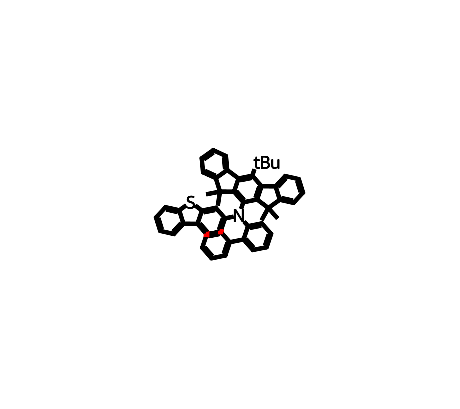 CC(C)(C)c1c2c(c(N(c3ccc4c(c3)sc3ccccc34)c3ccccc3-c3ccccc3)c3c1-c1ccccc1C3(C)C)C(C)(C)c1ccccc1-2